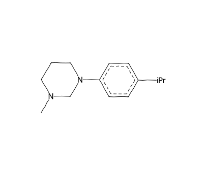 CC(C)c1ccc(N2CCCN(C)C2)cc1